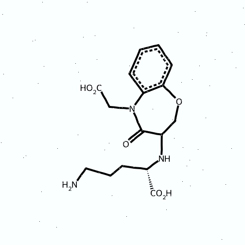 NCCC[C@H](NC1COc2ccccc2N(CC(=O)O)C1=O)C(=O)O